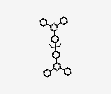 CCC(CC)(c1ccc(-c2cc(-c3ccccc3)nc(-c3ccccc3)n2)cc1)c1ccc(-c2nc(-c3ccccc3)nc(-c3ccccc3)n2)cc1